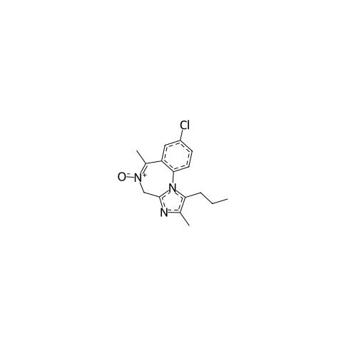 CCCc1c(C)nc2n1-c1ccc(Cl)cc1C(C)=[N+]([O-])C2